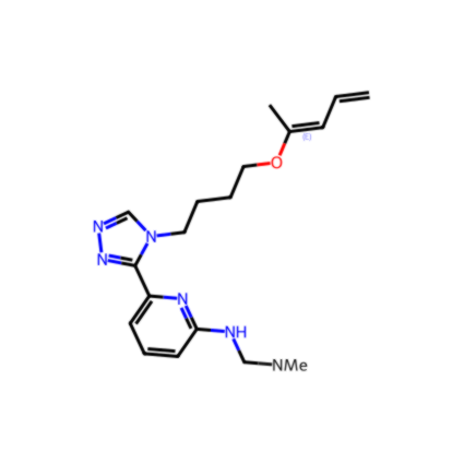 C=C/C=C(\C)OCCCCn1cnnc1-c1cccc(NCNC)n1